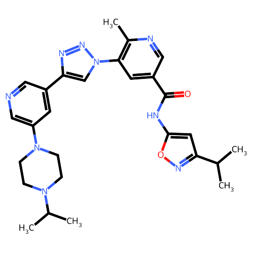 Cc1ncc(C(=O)Nc2cc(C(C)C)no2)cc1-n1cc(-c2cncc(N3CCN(C(C)C)CC3)c2)nn1